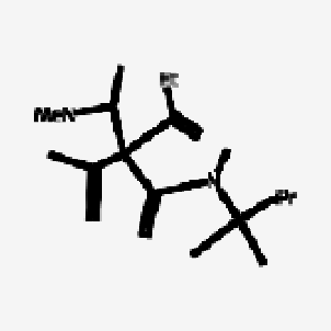 C=C(C)C(C(=C)CC)(C(=C)N(C)C(C)(C)C(C)C)C(C)NC